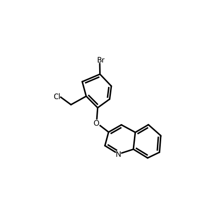 ClCc1cc(Br)ccc1Oc1cnc2ccccc2c1